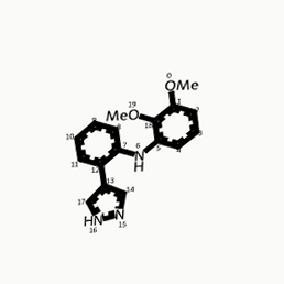 COc1cccc(Nc2ccccc2-c2cn[nH]c2)c1OC